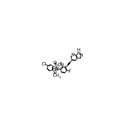 COc1ccc(Cl)cc1[SH](C)(=O)Nc1ccc(F)c(C#Cc2cnc3[nH]ncc3c2)c1F